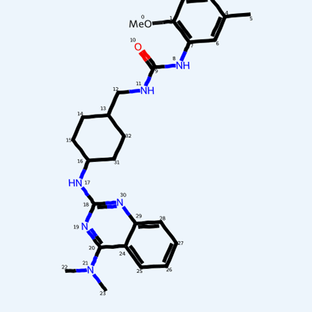 COc1ccc(C)cc1NC(=O)NCC1CCC(Nc2nc(N(C)C)c3ccccc3n2)CC1